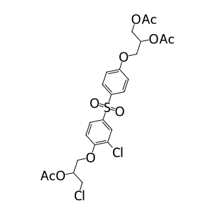 CC(=O)OCC(COc1ccc(S(=O)(=O)c2ccc(OCC(CCl)OC(C)=O)c(Cl)c2)cc1)OC(C)=O